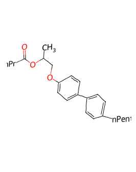 CCCCCc1ccc(-c2ccc(OCC(C)OC(=O)CCC)cc2)cc1